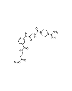 COC(=O)CCNC(=O)c1cccc(NC(=O)CNC(=O)N2CCN(C(=N)N)CC2)c1